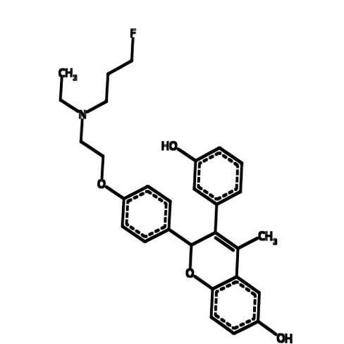 CCN(CCCF)CCOc1ccc(C2Oc3ccc(O)cc3C(C)=C2c2cccc(O)c2)cc1